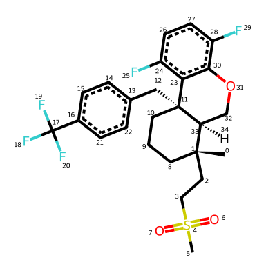 C[C@@]1(CCS(C)(=O)=O)CCC[C@@]2(Cc3ccc(C(F)(F)F)cc3)c3c(F)ccc(F)c3OC[C@@H]12